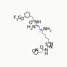 N/C(=C\C=C(/N)NC(=O)Cc1cccc(OC(F)(F)F)c1)CCCCc1nnc(NC(=O)Cc2ccon2)s1